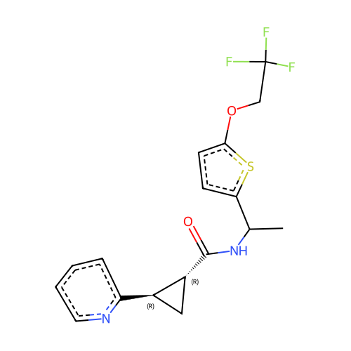 CC(NC(=O)[C@@H]1C[C@H]1c1ccccn1)c1ccc(OCC(F)(F)F)s1